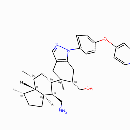 C[C@@H]1C[C@H]([C@@]2(C)Cc3cnn(-c4ccc(Oc5ccncc5)cc4)c3C[C@@H]2CO)[C@@H](CN)[C@H]2CC[C@H](C)[C@@H]21